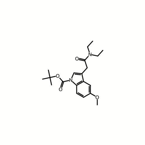 CCN(CC)C(=O)Cc1cn(C(=O)OC(C)(C)C)c2ccc(OC)cc12